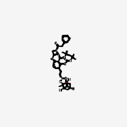 CC(C)(C)OC(=O)Oc1c(CCB2O[C@@H]3C[C@@H]4C[C@@H](C4(C)C)[C@]3(C)O2)ccc(OC2CN(C(=O)Cc3ccccc3)C2)c1C(=O)OC(C)(C)C